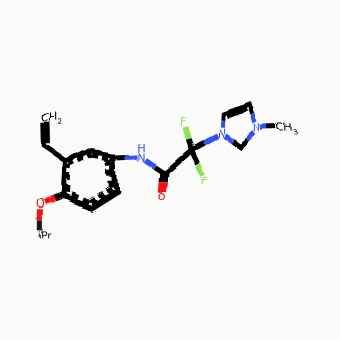 C=Cc1cc(NC(=O)C(F)(F)N2C=CN(C)C2)ccc1OC(C)C